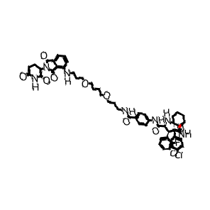 O=C1CCC(N2C(=O)c3cccc(NCCCOCCCCOCCCNC(=O)c4ccc(NC(=O)C5NC6(CCCCC6)[C@@]6(C(=O)Nc7cc(Cl)ccc76)[C@H]5c5cccc(Cl)c5F)cc4)c3C2=O)C(=O)N1